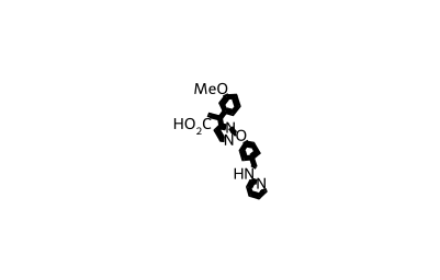 COc1cccc(C(CC(=O)O)c2ccnc(Oc3ccc(CNc4ccccn4)cc3)n2)c1